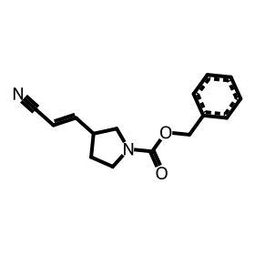 N#C/C=C/C1CCN(C(=O)OCc2ccccc2)C1